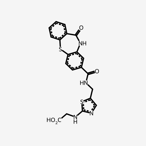 O=C(O)CNc1ncc(CNC(=O)c2ccc3c(c2)NC(=O)c2ccccc2S3)s1